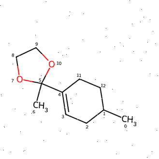 CC1CC=C(C2(C)OCCO2)CC1